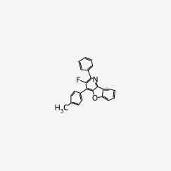 Cc1ccc(-c2c(F)c(-c3ccccc3)nc3c2oc2ccccc23)cc1